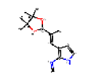 C=Nc1[nH]ccc1/C=C(\C)B1OC(C)(C)C(C)(C)O1